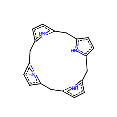 c1cc2[nH]c1Cc1ccc([nH]1)Cc1ccc([nH]1)Cc1ccc([nH]1)C2